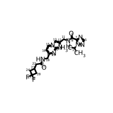 CC(C)n1ncnc1C(=O)NCc1cn2ccc(CNC(=O)CC3CC(F)(F)C3)nc2n1